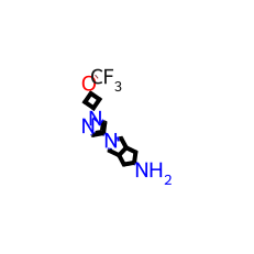 NC1CC2CN(c3cnn([C@H]4C[C@@H](OC(F)(F)F)C4)c3)CC2C1